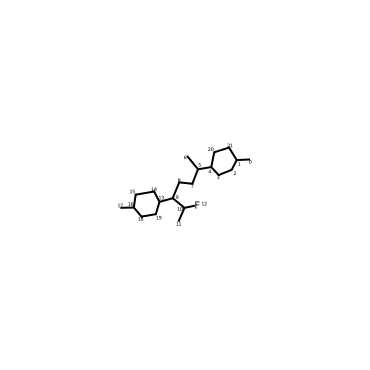 CC1CCC(C(C)CCC(C(C)F)C2CCC(C)CC2)CC1